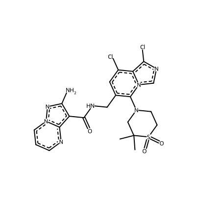 CC1(C)CN(c2c(CNC(=O)c3c(N)nn4cccnc34)cc(Cl)c3c(Cl)ncn23)CCS1(=O)=O